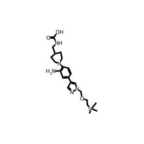 C[Si](C)(C)CCOCn1cc(-c2ccc(N3CCC(CNC(=O)O)CC3)c(N)c2)cn1